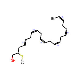 CC/C=C\C/C=C\C/C=C\C/C=C\C/C=C\C/C=C/CC(CO)SCC